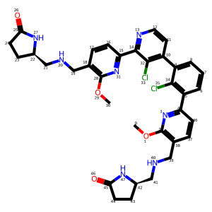 COc1nc(-c2cccc(-c3ccnc(-c4ccc(CNC[C@H]5CCC(=O)N5)c(OC)n4)c3Cl)c2Cl)ccc1CNC[C@H]1CCC(=O)N1